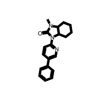 CN1C(=O)N(c2ccc(-c3ccccc3)cn2)C2CCCCC21